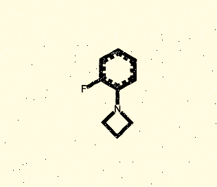 Fc1ccccc1N1CCC1